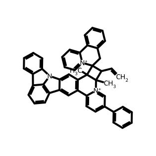 C=CC1C2(C)[n+]3cc(-c4ccccc4)ccc3-c3cc4c5cccc6c7ccccc7n(c4cc3C2(C)C12Cc1ccccc1-c1cccc[n+]12)c65